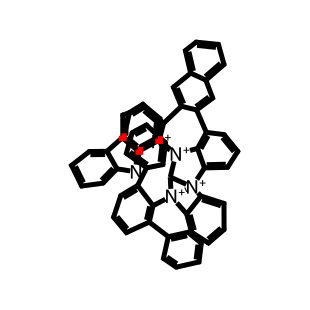 c1ccc(-c2cccc(-c3ccccc3)c2[N+]23c4ccccc4[N+]24c2cccc5c2[N+]2(c6c(ccc7c8ccccc8n(c67)-c6cccc[n+]62)-c2cc6ccccc6cc2-5)C43)cc1